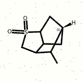 CC1C2CS(=O)(=O)C3C[C@@H]1CC23